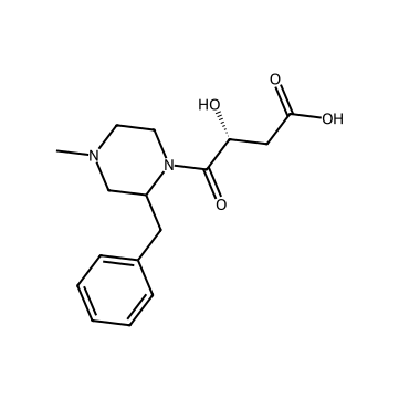 CN1CCN(C(=O)[C@H](O)CC(=O)O)C(Cc2ccccc2)C1